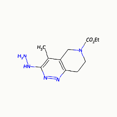 CCOC(=O)N1CCc2nnc(NN)c(C)c2C1